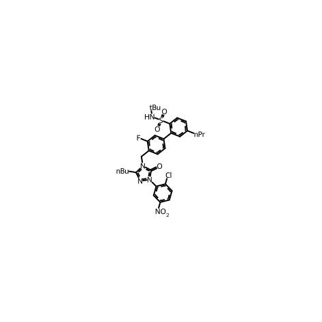 CCCCc1nn(-c2cc([N+](=O)[O-])ccc2Cl)c(=O)n1Cc1ccc(-c2cc(CCC)ccc2S(=O)(=O)NC(C)(C)C)cc1F